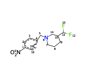 O=[N+]([O-])c1ccc(CN2CCCC(C(F)F)C2)cc1